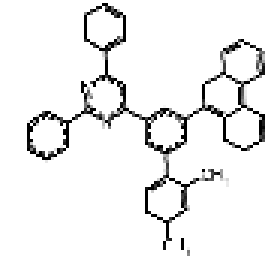 CC1=CC(C)CC=C1c1cc(C2=C3CCC=CC3=C3C=CC=CC3C2)cc(-c2cc(C3=CC=CCC3)nc(-c3ccccc3)n2)c1